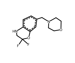 FC1(F)CNc2ccc(CN3CCOCC3)cc2O1